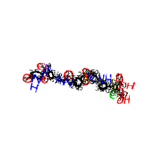 Cn1c(=O)n(C2CCC(=O)NC2=O)c2ccc(C3CN(C(=O)Nc4cccc(CS(=O)(=O)N5CC[C@H](Nc6cccc(-c7sc(C(=O)O)c(OCC(=O)O)c7Cl)c6)CC5(C)C)c4)C3)cc21